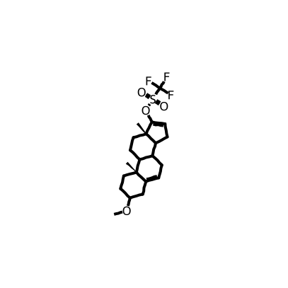 COC1CC[C@@]2(C)C(=CCC3C2CC[C@]2(C)C(OS(=O)(=O)C(F)(F)F)=CCC32)C1